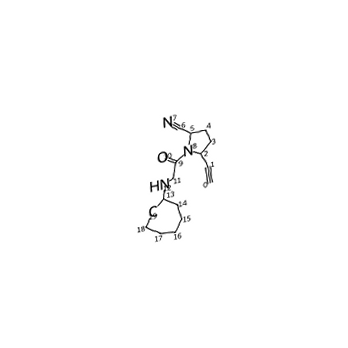 C#CC1CCC(C#N)N1C(=O)CNC1CCCCCC1